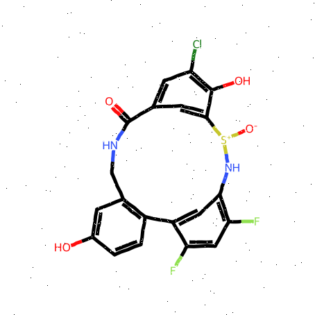 O=C1NCc2cc(O)ccc2-c2cc(c(F)cc2F)N[S+]([O-])c2cc1cc(Cl)c2O